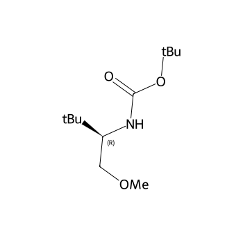 COC[C@H](NC(=O)OC(C)(C)C)C(C)(C)C